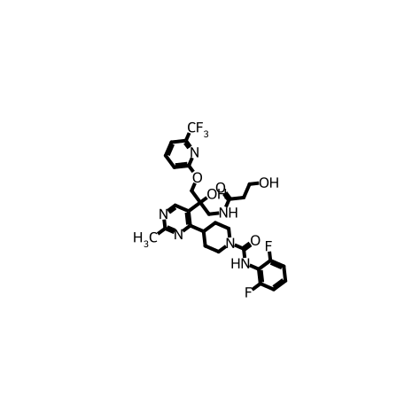 Cc1ncc(C(O)(CNC(=O)CCO)COc2cccc(C(F)(F)F)n2)c(C2CCN(C(=O)Nc3c(F)cccc3F)CC2)n1